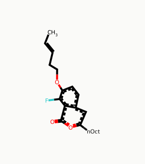 C/C=C/CCOc1ccc2cc(CCCCCCCC)oc(=O)c2c1F